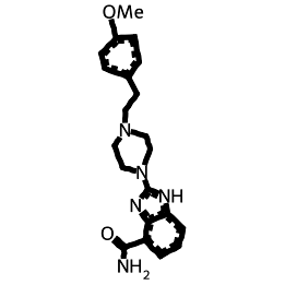 COc1ccc(CCN2CCN(c3nc4c(C(N)=O)cccc4[nH]3)CC2)cc1